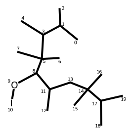 CC(C)C(C)C(C)(C)C(OI)C(C)CC(C)(C)C(C)C